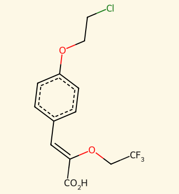 O=C(O)/C(=C/c1ccc(OCCCl)cc1)OCC(F)(F)F